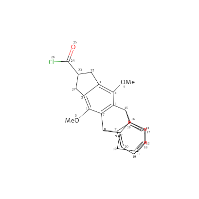 COc1c2c(c(OC)c3c1C1c4ccccc4C3c3ccccc31)CC(C(=O)Cl)C2